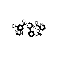 O=C(N[C@@H]1CCN(C(=O)c2cc(Cl)c3nccnc3c2)C[C@@H]1c1ccccc1)c1ncccc1OC(F)F